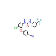 N#Cc1ccc(Oc2cc(NC(=O)Nc3cccc(C(F)(F)F)c3)ccc2Cl)cc1